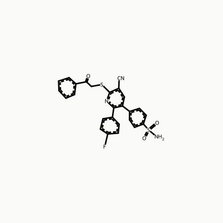 N#Cc1cc(-c2ccc(S(N)(=O)=O)cc2)c(-c2ccc(F)cc2)nc1SCC(=O)c1ccccc1